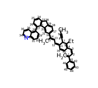 C=C(/C=C\C1=C(CC)C(C#CC)/C(=C\C=C(/C)c2ccc3c(c2)-c2c(cccc2-c2cccc4ncccc24)C3)C=C1)c1ccccc1